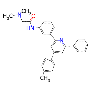 Cc1ccc(-c2cc(-c3ccccc3)nc(-c3cccc(NC(=O)CN(C)C)c3)c2)cc1